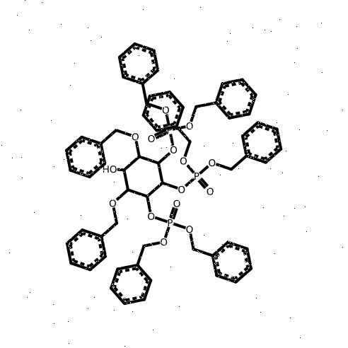 O=P(OCc1ccccc1)(OCc1ccccc1)OC1C(OCc2ccccc2)C(O)C(OCc2ccccc2)C(OP(=O)(OCc2ccccc2)OCc2ccccc2)C1OP(=O)(OCc1ccccc1)OCc1ccccc1